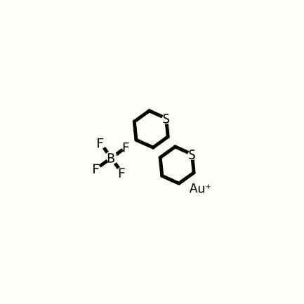 C1CCSCC1.C1CCSCC1.F[B-](F)(F)F.[Au+]